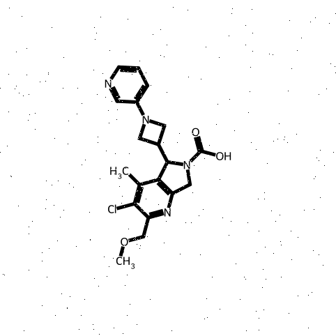 COCc1nc2c(c(C)c1Cl)C(C1CN(c3cccnc3)C1)N(C(=O)O)C2